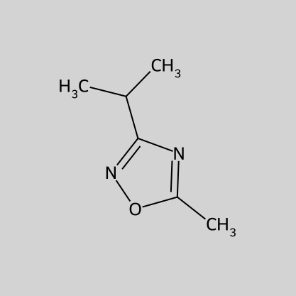 Cc1nc(C(C)C)no1